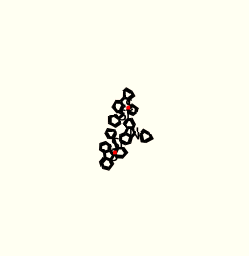 c1ccc(-n2c3ccc([Si](c4ccccc4)(c4ccccc4)c4cccc5c4sc4ccccc45)cc3c3cc([Si](c4ccccc4)(c4ccccc4)c4cccc5c4sc4ccccc45)ccc32)cc1